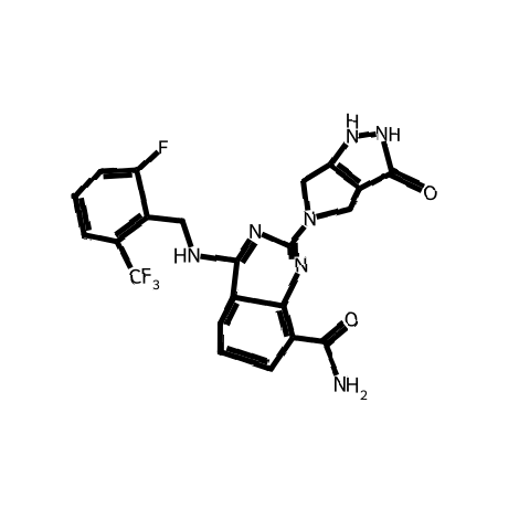 NC(=O)c1cccc2c(NCc3c(F)cccc3C(F)(F)F)nc(N3Cc4[nH][nH]c(=O)c4C3)nc12